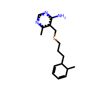 Cc1ncnc(N)c1CSCCCC1C=CC=CC1C